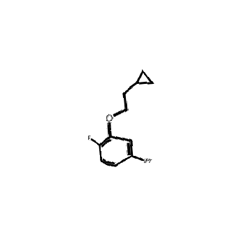 CC(C)c1ccc(F)c(OCCC2CC2)c1